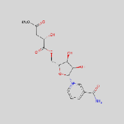 COC(=O)C[C@H](O)C(=O)OC[C@H]1O[C@@H]([n+]2cccc(C(N)=O)c2)[C@H](O)[C@@H]1O